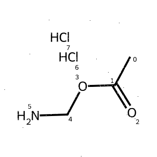 CC(=O)OCN.Cl.Cl